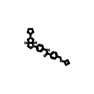 O=C(Nc1ccc(N2CC[C@@H]3CN(C4CCCC4)C[C@@H]32)cc1)c1ccc(COC2CCC2)cc1